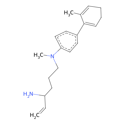 C=CC(N)CCCN(C)c1ccc(C2=CCCC=C2C)cc1